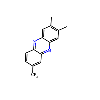 Cc1cc2nc3ccc(C(F)(F)F)cc3nc2cc1C